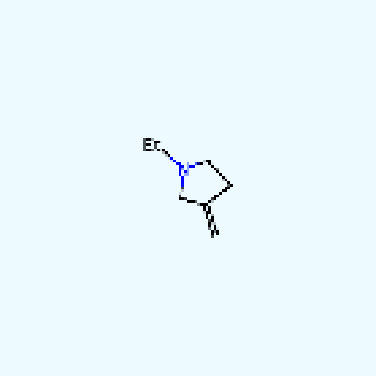 C=C1CCN(CC)C1